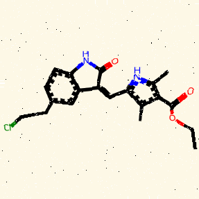 CCOC(=O)c1c(C)[nH]c(C=C2C(=O)Nc3ccc(CCCl)cc32)c1C